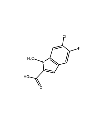 Cn1c(C(=O)O)cc2cc(F)c(Cl)cc21